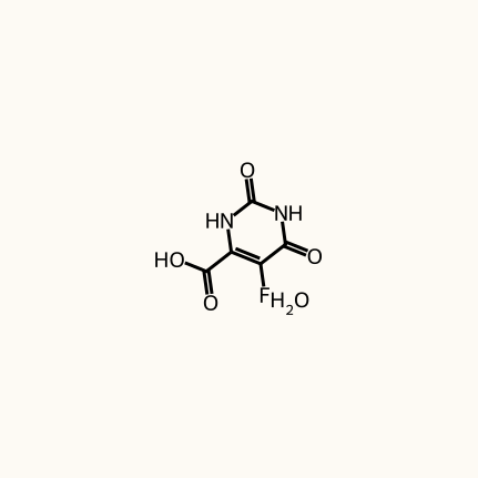 O.O=C(O)c1[nH]c(=O)[nH]c(=O)c1F